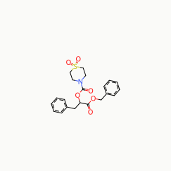 O=C(OCc1ccccc1)C(Cc1ccccc1)OC(=O)N1CCS(=O)(=O)CC1